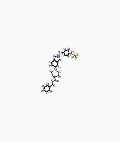 FC(F)(F)Oc1ccc(CN2Cc3ccc(N4CCC(CCCc5ccccc5)CC4)cc3C2)cc1